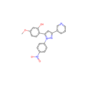 COc1ccc(-c2cc(-c3cccnc3)nn2-c2ccc([N+](=O)[O-])cc2)c(O)c1